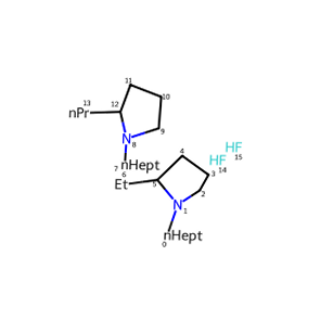 CCCCCCCN1CCCC1CC.CCCCCCCN1CCCC1CCC.F.F